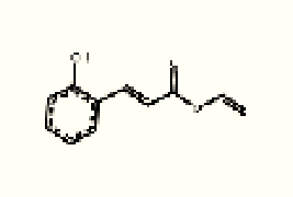 C=COC(=O)/C=C/c1ccccc1O